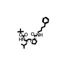 CC(C)C[C@H](CN1CCC[C@H]1C(=O)NCCCCc1ccccc1)NC(=O)OC(C)(C)C